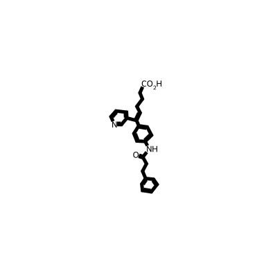 O=C(O)CCCC=C(c1ccc(NC(=O)CCc2ccccc2)cc1)c1cccnc1